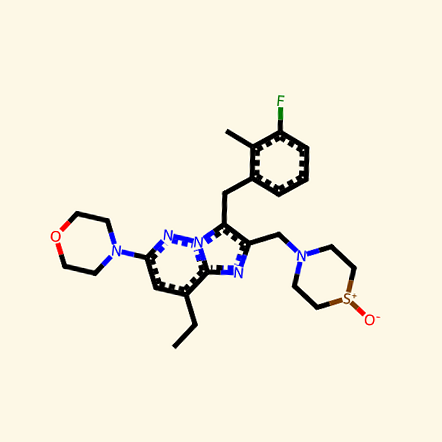 CCc1cc(N2CCOCC2)nn2c(Cc3cccc(F)c3C)c(CN3CC[S+]([O-])CC3)nc12